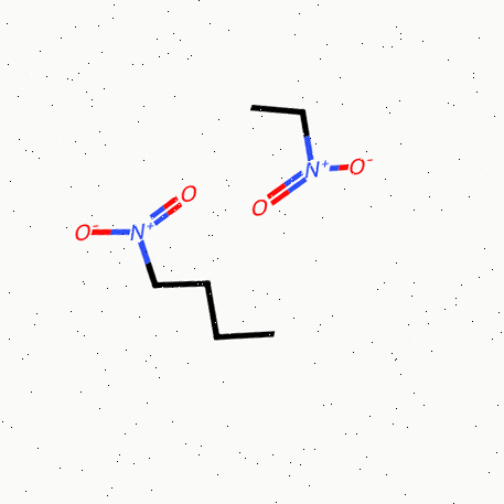 CCCC[N+](=O)[O-].CC[N+](=O)[O-]